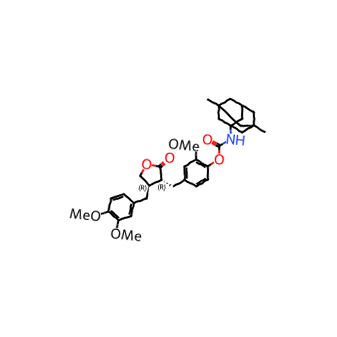 COc1ccc(C[C@H]2COC(=O)[C@@H]2Cc2ccc(OC(=O)NC34CC5CC(C)(CC(C)(C5)C3)C4)c(OC)c2)cc1OC